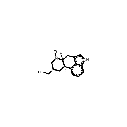 CCN1C[C@H](CO)C[C@@H]2c3cccc4[nH]cc(c34)C[C@H]21